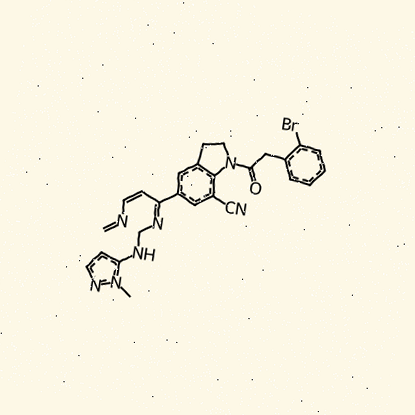 C=N/C=C\C(=N/CNc1ccnn1C)c1cc(C#N)c2c(c1)CCN2C(=O)Cc1ccccc1Br